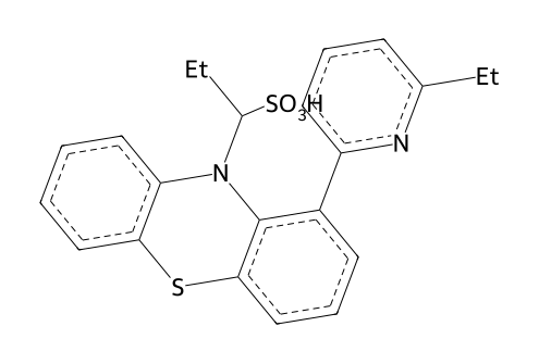 CCc1cccc(-c2cccc3c2N(C(CC)S(=O)(=O)O)c2ccccc2S3)n1